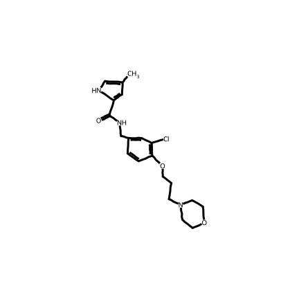 Cc1c[nH]c(C(=O)NCc2ccc(OCCCN3CCOCC3)c(Cl)c2)c1